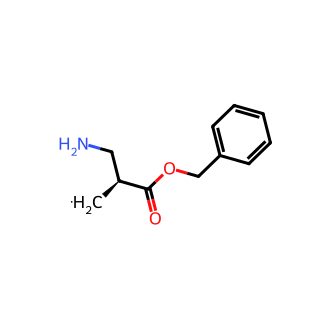 [CH2][C@@H](CN)C(=O)OCc1ccccc1